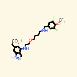 O=C(O)Cc1cc(NCCOCCCCNCc2cc(F)c(OC(F)(F)F)c(F)c2)c2cn[nH]c2c1